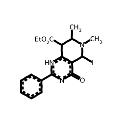 CCOC(=O)C1c2[nH]c(-c3ccccc3)nc(=O)c2C(I)N(C)C1C